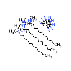 CCCCCCCCCCCC[NH+](C)C.CCCCCCCCCCCC[NH+](C)C.CCCCCCCCCCCC[NH+](C)C.N#[C][Mo-3]([C]#N)([C]#N)([C]#N)([C]#N)([C]#N)([C]#N)[C]#N